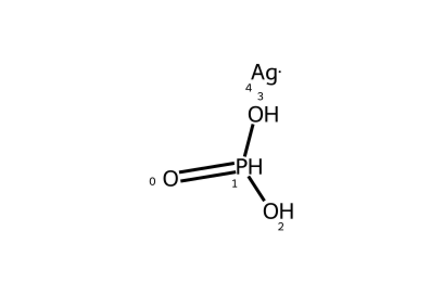 O=[PH](O)O.[Ag]